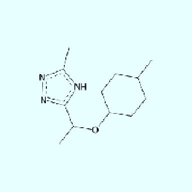 Cc1nnc(C(C)OC2CCC(C)CC2)[nH]1